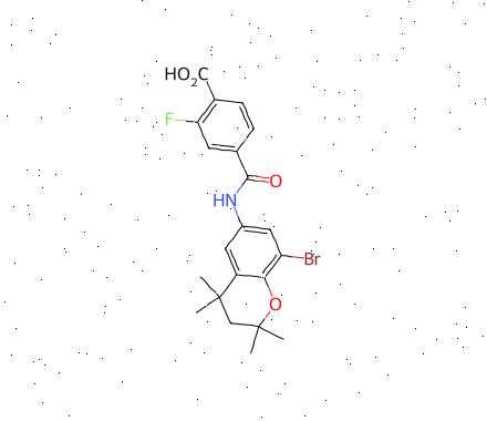 CC1(C)CC(C)(C)c2cc(NC(=O)c3ccc(C(=O)O)c(F)c3)cc(Br)c2O1